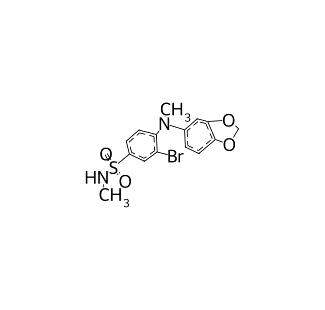 CNS(=O)(=O)c1ccc(N(C)c2ccc3c(c2)OCO3)c(Br)c1